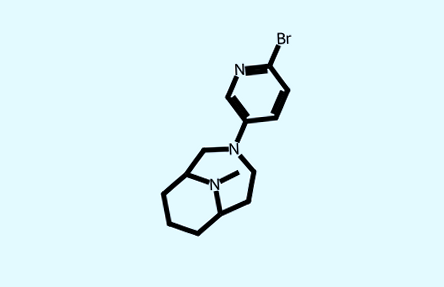 CN1C2CCCC1CN(c1ccc(Br)nc1)CC2